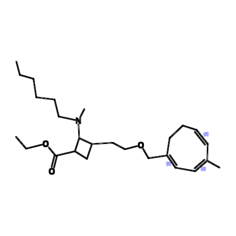 CCCCCCN(C)C1C(CCOC/C2=C/C=C(C)\C=C/CC2)CC1C(=O)OCC